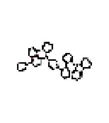 c1ccc(-c2ccc(N(c3ccc(-c4ccccc4-c4ccccc4-n4c5ccccc5c5ccccc54)cc3)c3ccccc3-c3ccccc3)cc2)cc1